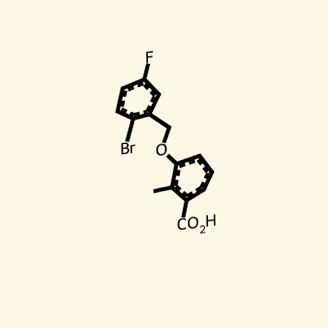 Cc1c(OCc2cc(F)ccc2Br)cccc1C(=O)O